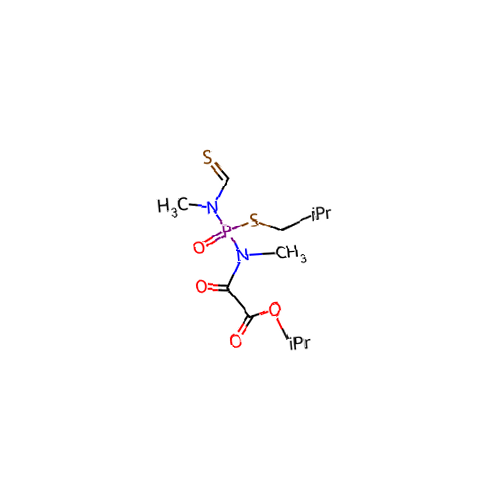 CC(C)CSP(=O)(N(C)C=S)N(C)C(=O)C(=O)OC(C)C